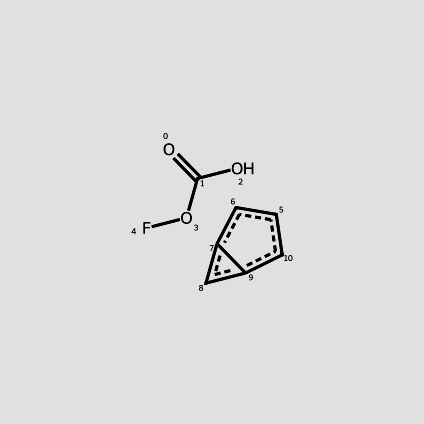 O=C(O)OF.c1cc2cc-2c1